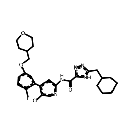 O=C(Nc1cc(-c2cc(OCC3CCOCC3)ccc2F)c(Cl)cn1)c1nnc(CC2CCCCC2)[nH]1